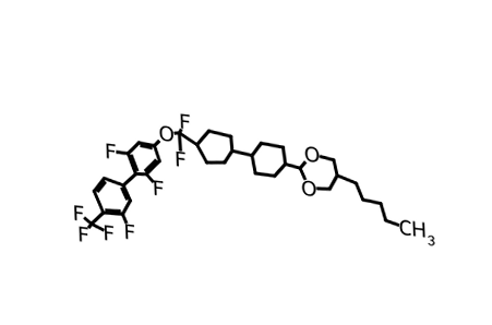 CCCCCC1COC(C2CCC(C3CCC(C(F)(F)Oc4cc(F)c(-c5ccc(C(F)(F)F)c(F)c5)c(F)c4)CC3)CC2)OC1